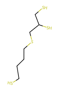 SCCCCSCC(S)CS